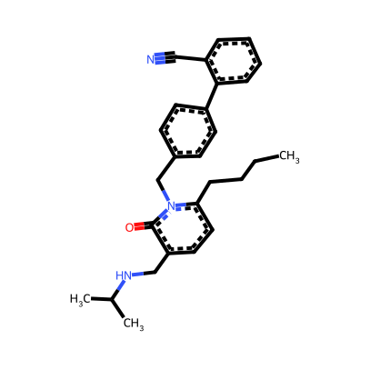 CCCCc1ccc(CNC(C)C)c(=O)n1Cc1ccc(-c2ccccc2C#N)cc1